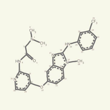 CN(C)CC(=O)Nc1cc(Oc2ccc3c(c2)nc(Nc2cccc(C(F)(F)F)c2)n3C)ccn1